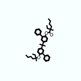 CCCCC(C)(CC)Oc1ccc(C(C)(C)c2ccc(OC(=O)C(C)(CC)CCCC)c(-c3ccccc3)c2)cc1-c1ccccc1